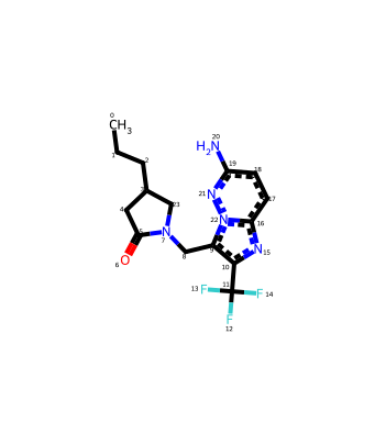 CCCC1CC(=O)N(Cc2c(C(F)(F)F)nc3ccc(N)nn23)C1